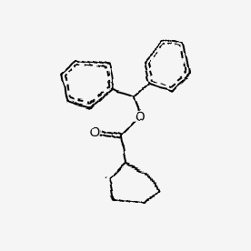 O=C(OC(c1ccccc1)c1ccccc1)C1[CH]CCCC1